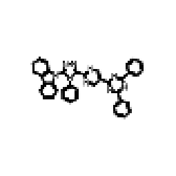 C1=Cc2c(c3ccccc3n2-c2nnc(-c3ncc(-c4nc(-c5ccccc5)nc(-c5ccccc5)n4)cn3)n2-c2ccccc2)CC1